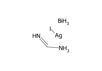 N=CN.[Ag][I].[BiH3]